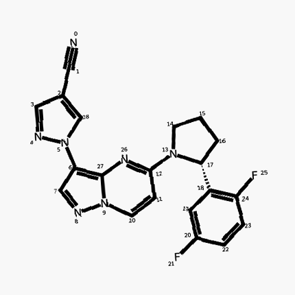 N#Cc1cnn(-c2cnn3ccc(N4CCC[C@@H]4c4cc(F)ccc4F)nc23)c1